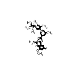 COc1cc(F)cc2c1nc(N)n1nc([C@@H]3C[C@H](C)CN(c4cn(C(C)(C)[C@H](C)O)nc4C)C3)nc21